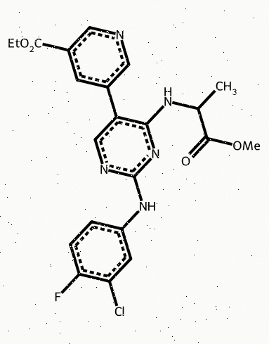 CCOC(=O)c1cncc(-c2cnc(Nc3ccc(F)c(Cl)c3)nc2NC(C)C(=O)OC)c1